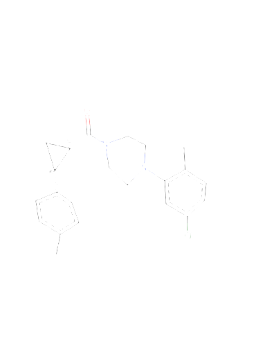 Cc1ccc([C@@H]2C[C@@H]2C(=O)N2CCN(c3cc(Cl)ccc3C)CC2)cc1